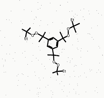 CCC(C)(C)OOC(C)(C)c1cc(C(C)(C)OOC(C)(C)CC)cc(C(C)(C)OOC(C)(C)CC)c1